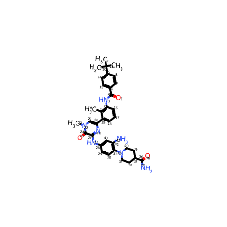 Cc1c(NC(=O)c2ccc(C(C)(C)C)cc2)cccc1-c1cn(C)c(=O)c(Nc2ccc(N3CCC(C(N)=O)CC3)c(N)c2)n1